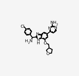 Nc1nccc(-c2cc(OCC3CCOC3)c3[nH]c(C(N)c4ccc(Cl)cc4)nc3c2)n1